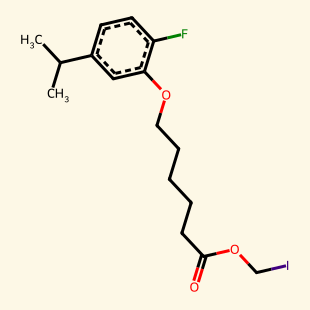 CC(C)c1ccc(F)c(OCCCCCC(=O)OCI)c1